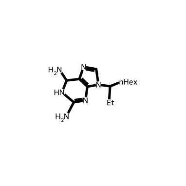 CCCCCCC(CC)n1cnc2c1N=C(N)NC2N